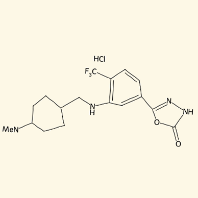 CNC1CCC(CNc2cc(-c3n[nH]c(=O)o3)ccc2C(F)(F)F)CC1.Cl